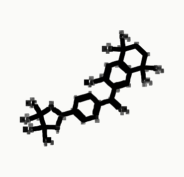 C=C(c1ccc(B2OC(C)(C)C(C)(C)O2)cn1)c1cc2c(cc1C)C(C)(C)CCC2(C)C